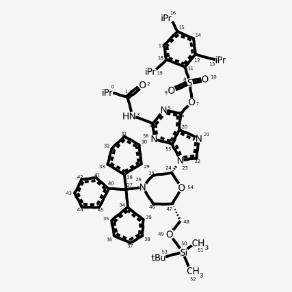 CC(C)C(=O)Nc1nc(OS(=O)(=O)c2c(C(C)C)cc(C(C)C)cc2C(C)C)c2ncn([C@H]3CN(C(c4ccccc4)(c4ccccc4)c4ccccc4)C[C@@H](CO[Si](C)(C)C(C)(C)C)O3)c2n1